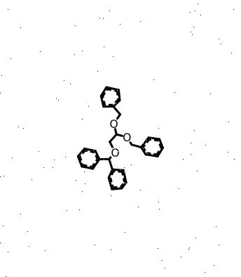 c1ccc(COC(COC(c2ccccc2)c2ccccc2)OCc2ccccc2)cc1